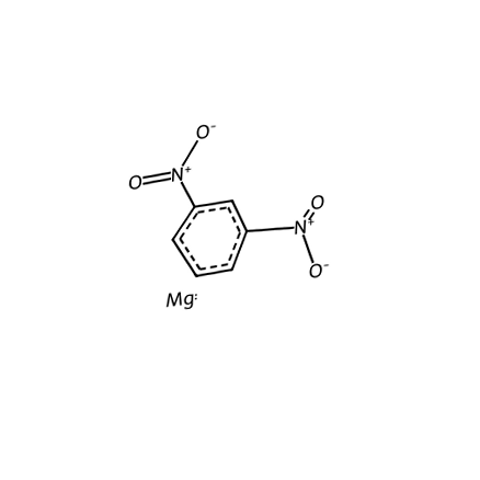 O=[N+]([O-])c1cccc([N+](=O)[O-])c1.[Mg]